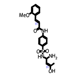 COc1ccccc1/C=C/C(=O)Nc1ccc(S(=O)(=O)NC(N)/C=C(\C)O)cc1